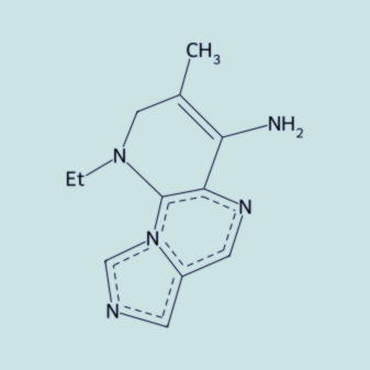 CCN1CC(C)=C(N)c2ncc3cncn3c21